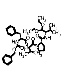 CCOC(OCC)[C@@H](NC(=O)[C@@H]1CCCN1C(=O)[C@@H](NC(=O)[C@H](Cc1ccccc1)NC(=O)OCc1ccccc1)C(C)C)C(C)C